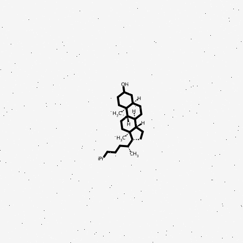 CC(C)CCC[C@@H](C)[C@H]1CC[C@H]2[C@@H]3CC[C@@H]4CC(O)CC[C@]4(C)[C@H]3CC[C@]12C